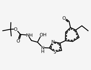 CCc1ccc(-c2csc(NC(O)CNC(=O)OC(C)(C)C)n2)cc1C=O